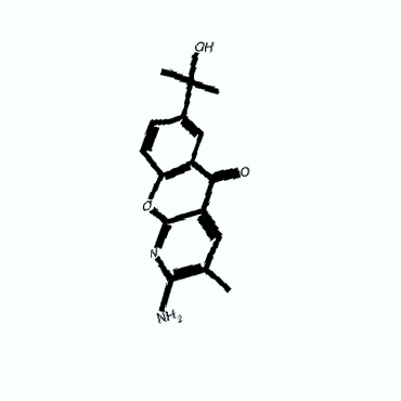 Cc1cc2c(=O)c3cc(C(C)(C)O)ccc3oc2nc1N